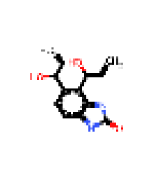 C=CC(O)c1ccc2c(c1C(O)C=C)=NC(=O)N=2